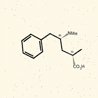 CN[C@@H](Cc1ccccc1)C[C@H](C)C(=O)O